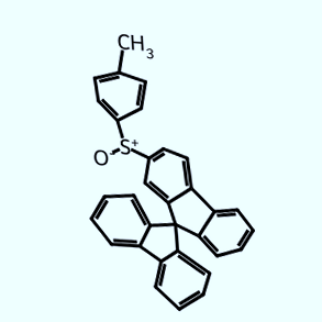 Cc1ccc([S+]([O-])c2ccc3c(c2)C2(c4ccccc4-c4ccccc42)c2ccccc2-3)cc1